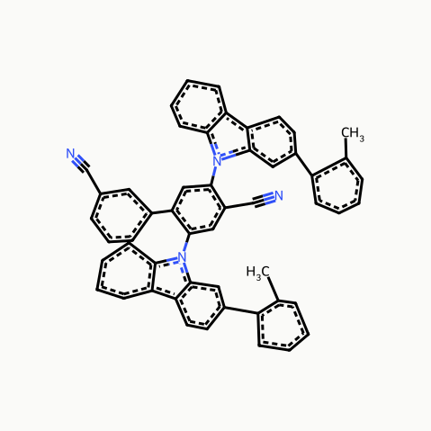 Cc1ccccc1-c1ccc2c3ccccc3n(-c3cc(-c4cccc(C#N)c4)c(-n4c5ccccc5c5ccc(-c6ccccc6C)cc54)cc3C#N)c2c1